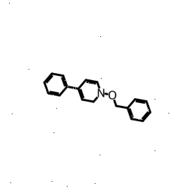 C1=CN(OCc2ccccc2)CC=C1c1ccccc1